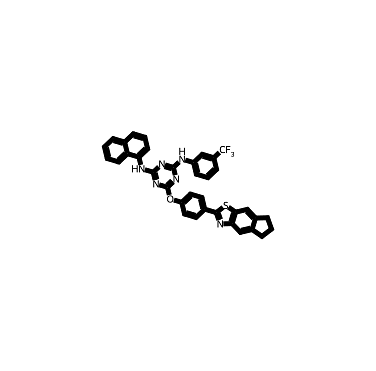 FC(F)(F)c1cccc(Nc2nc(Nc3cccc4ccccc34)nc(Oc3ccc(-c4nc5cc6c(cc5s4)CCC6)cc3)n2)c1